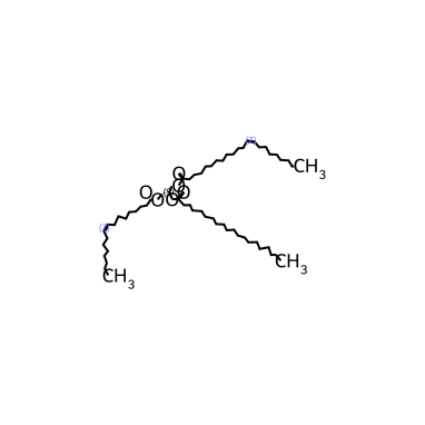 CCCCCCC/C=C\CCCCCCCC(=O)OC[C@H](COC(=O)CCCCCCCCCCC/C=C\CCCCCCCC)OC(=O)CCCCCCCCCCCCCCCCCCC